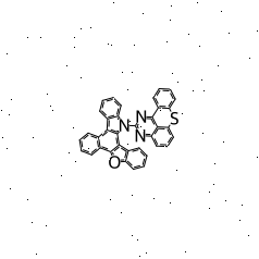 c1ccc2c(c1)Sc1cccc3nc(-n4c5ccccc5c5c6ccccc6c6oc7ccccc7c6c54)nc-2c13